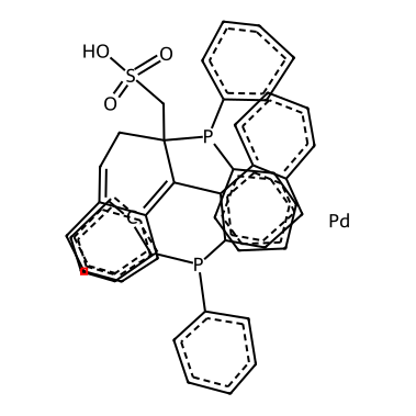 O=S(=O)(O)CC1(P(c2ccccc2)c2ccccc2)CC=c2ccccc2=C1c1c(P(c2ccccc2)c2ccccc2)ccc2ccccc12.[Pd]